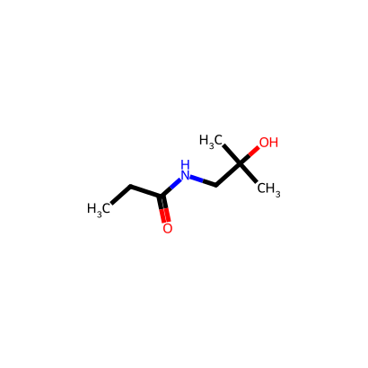 CCC(=O)NCC(C)(C)O